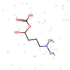 CN(C)CCCC(O)OC(=O)O